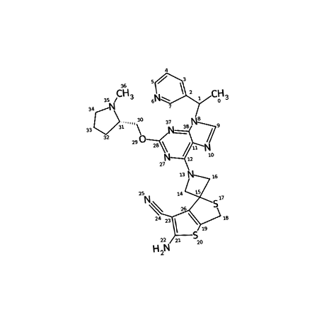 CC(c1cccnc1)n1cnc2c(N3CC4(C3)SCc3sc(N)c(C#N)c34)nc(OC[C@@H]3CCCN3C)nc21